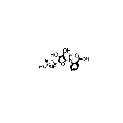 O=C(O)c1ccccc1N[C@@H]1O[C@H](COP(=O)(O)O)[C@@H](O)[C@H]1O